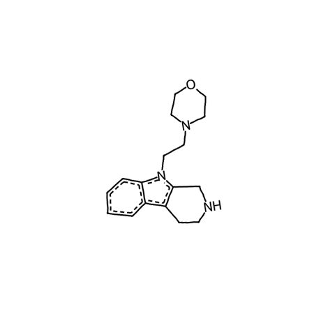 c1ccc2c(c1)c1c(n2CCN2CCOCC2)CNCC1